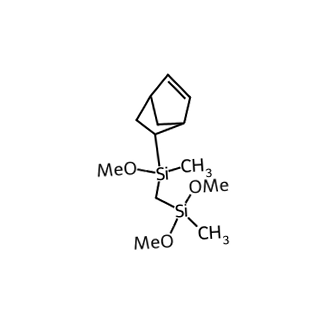 CO[Si](C)(C[Si](C)(OC)C1CC2C=CC1C2)OC